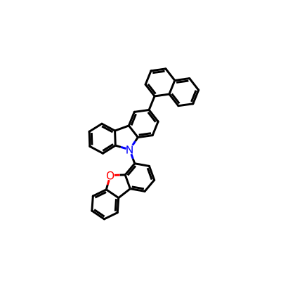 c1ccc2c(-c3ccc4c(c3)c3ccccc3n4-c3cccc4c3oc3ccccc34)cccc2c1